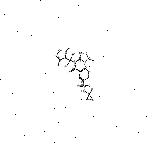 [2H]C([2H])(c1c(C)noc1C)N1C(=O)c2cc(S(=O)(=O)NC3(C)CC3)ccc2N2C1=NC[C@H]2C